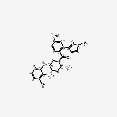 COc1ccc(C(=O)N2C[C@H](Oc3nccc(C#N)c3C)CC[C@H]2C)c(-c2ccn(C)n2)n1